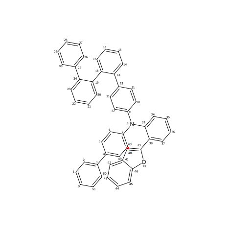 c1ccc(-c2ccc(N(c3ccc(-c4ccccc4-c4ccccc4-c4ccccc4)cc3)c3ccccc3-c3cc4ccccc4o3)cc2)cc1